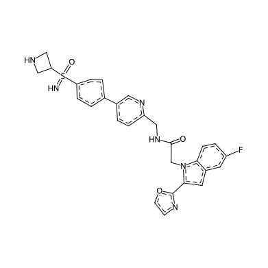 N=S(=O)(c1ccc(-c2ccc(CNC(=O)Cn3c(-c4ncco4)cc4cc(F)ccc43)nc2)cc1)C1CNC1